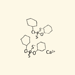 S=P([S-])(OC1CCCCC1)OC1CCCCC1.S=P([S-])(OC1CCCCC1)OC1CCCCC1.[Ca+2]